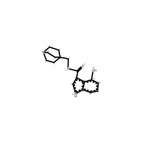 O=C(OCC12CCN(CC1)CC2)c1c[nH]c2cccc(O)c12